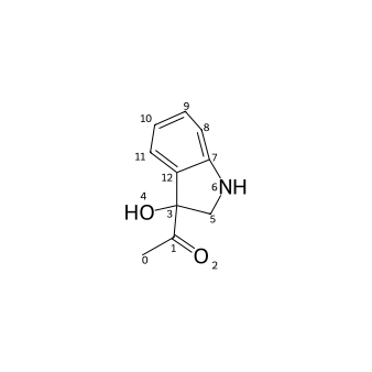 CC(=O)C1(O)CNc2ccccc21